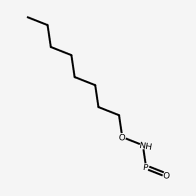 CCCCCCCCONP=O